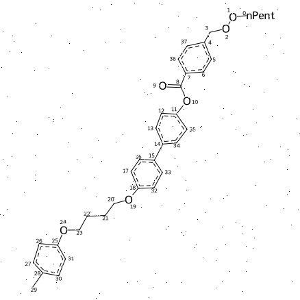 [CH2+][CH-]CCCOOCc1ccc(C(=O)Oc2ccc(-c3ccc(OCCCCOc4ccc(C)cc4)cc3)cc2)cc1